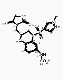 Cn1cc(S(=O)(=O)N2C[C@H](CN3C(=O)COC3=O)Oc3ccc(NC(=O)O)cc32)cn1